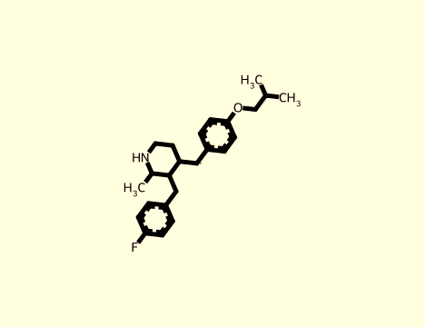 CC(C)COc1ccc([CH]C2CCNC(C)C2Cc2ccc(F)cc2)cc1